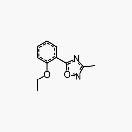 CCOc1ccccc1-c1nc(C)no1